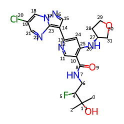 CC(C)(O)C(F)CNC(=O)c1cnc(-c2cnn3cc(Cl)cnc23)cc1N[C@H]1CCOC1